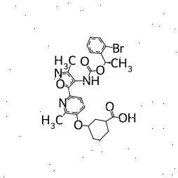 Cc1nc(-c2onc(C)c2NC(=O)O[C@H](C)c2ccccc2Br)ccc1OC1CCCC(C(=O)O)C1